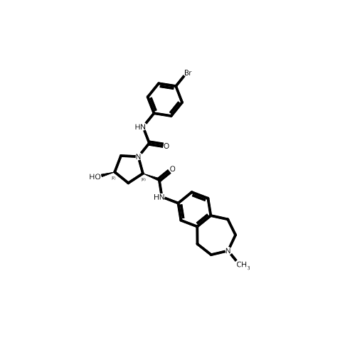 CN1CCc2ccc(NC(=O)[C@H]3C[C@@H](O)CN3C(=O)Nc3ccc(Br)cc3)cc2CC1